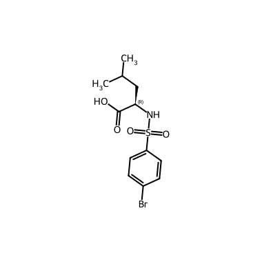 CC(C)C[C@@H](NS(=O)(=O)c1ccc(Br)cc1)C(=O)O